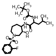 CC(C)CC(NC(=O)OC(C)(C)C)C(=O)NC1CCCN(S(=O)(=O)c2ccccc2F)C[C@@H]1O